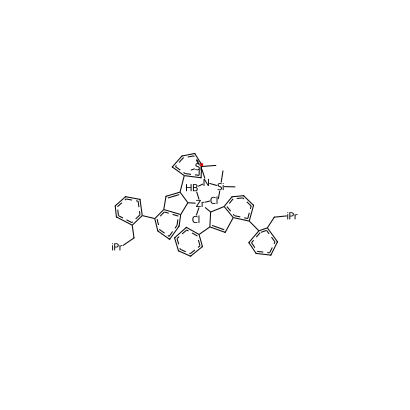 CC(C)Cc1ccccc1-c1cccc2c1C=C(c1ccccc1)[CH]2[Zr]([Cl])([Cl])([BH]N([Si](C)(C)C)[Si](C)(C)C)[CH]1C(c2ccccc2)=Cc2c(-c3ccccc3CC(C)C)cccc21